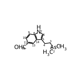 C[As](C)CCc1c[nH]c2ccc(C=O)cc12